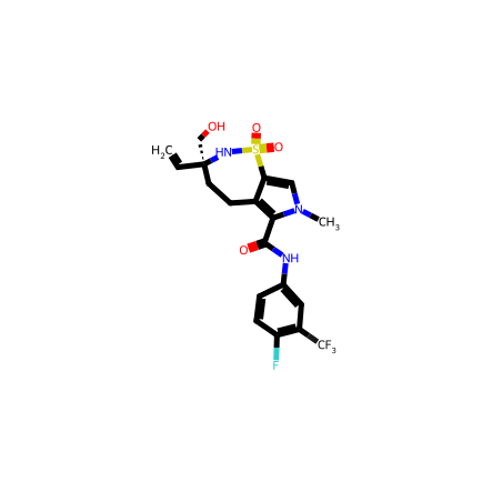 C=C[C@]1(CO)CCc2c(cn(C)c2C(=O)Nc2ccc(F)c(C(F)(F)F)c2)S(=O)(=O)N1